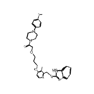 COc1ccc(N2CCN(C(=O)COCCCOc3ccnc(CSc4nc5ccccc5[nH]4)c3C)CC2)cc1